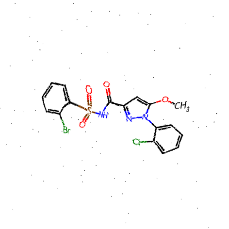 COc1cc(C(=O)NS(=O)(=O)c2ccccc2Br)nn1-c1ccccc1Cl